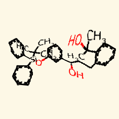 CC(C)(O)c1ccccc1CC[C@@H](O)c1cccc(O[Si](c2ccccc2)(c2ccccc2)C(C)(C)C)c1